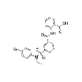 CCN(c1ccc(Br)cc1)S(=O)(=O)c1cccc(C(=O)Nc2ccccc2C(=O)O)c1